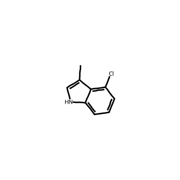 Cc1c[nH]c2cccc(Cl)c12